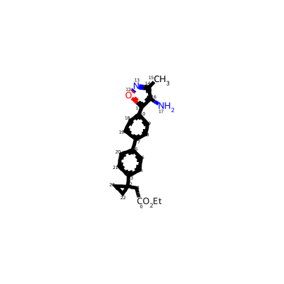 CCOC(=O)CC1(c2ccc(-c3ccc(-c4onc(C)c4N)cc3)cc2)CC1